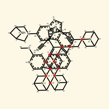 C=C/C(=C\N=C(/C)N1CC2CC(C1)N2Cc1ccc(OCCN2C3CC2CN(c2cc(-c4ccc(N5CC6CC(C5)N6Cc5ccc(OC)nc5)nc4)c4c(C#N)cnn4c2)C3)nc1)c1cc(N2CC3CC(C2)N3)cn2ncc(C#N)c12